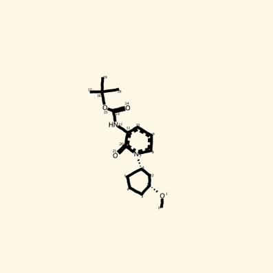 CO[C@@H]1CCC[C@H](n2cccc(NC(=O)OC(C)(C)C)c2=O)C1